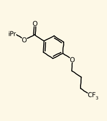 CC(C)OC(=O)c1ccc(OCCCC(F)(F)F)cc1